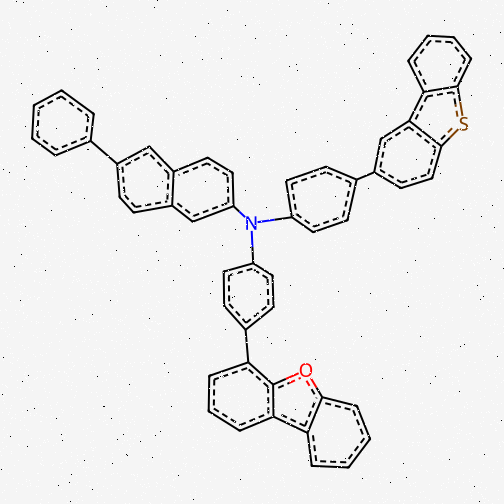 c1ccc(-c2ccc3cc(N(c4ccc(-c5ccc6sc7ccccc7c6c5)cc4)c4ccc(-c5cccc6c5oc5ccccc56)cc4)ccc3c2)cc1